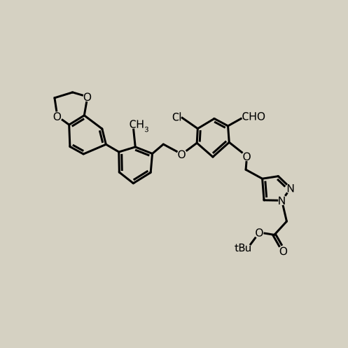 Cc1c(COc2cc(OCc3cnn(CC(=O)OC(C)(C)C)c3)c(C=O)cc2Cl)cccc1-c1ccc2c(c1)OCCO2